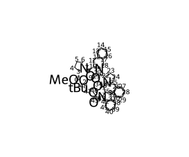 COC(=O)[C@@H]1CCCN1C(=O)[C@H]1Cc2ccccc2CN1C(=O)[C@H]1CC[C@@H](c2ccccc2)N1C(=O)[C@H]1Cc2ccccc2N1C(=O)OCC(C)(C)C